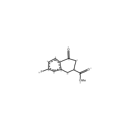 COC(=O)C1CC(=O)c2ccc(F)cc2C1